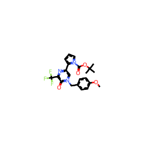 COc1ccc(Cn2cc(-c3cccn3C(=O)OC(C)(C)C)nc(C(F)(F)F)c2=O)cc1